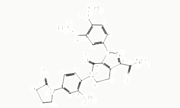 COc1ccc(-n2nc(C(N)=O)c3c2C(=O)N(c2ccc(N4CCCC4=O)cc2C)CC3)cc1OC